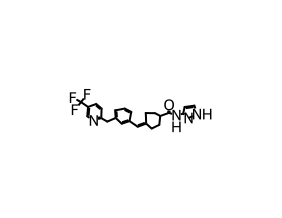 O=C(Nc1cc[nH]n1)C1CCC(=Cc2cccc(Cc3ccc(C(F)(F)F)cn3)c2)CC1